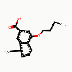 CCCCOc1cc(C(=O)O)cc2c(C)cccc12